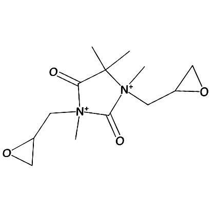 CC1(C)C(=O)[N+](C)(CC2CO2)C(=O)[N+]1(C)CC1CO1